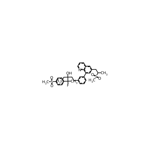 CCC(O)(CCc1cccc(-c2cc(CC(C)S(C)(=O)=O)cc3cccnc23)c1)C(C)(F)c1ccc(S(C)(=O)=O)cc1